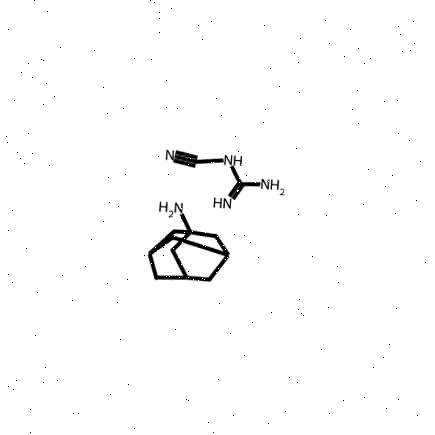 N#CNC(=N)N.NC12CC3CC(CC(C3)C1)C2